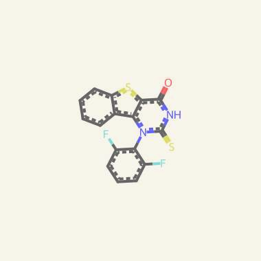 O=c1[nH]c(=S)n(-c2c(F)cccc2F)c2c1sc1ccccc12